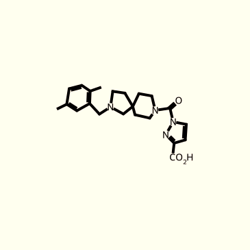 Cc1ccc(C)c(CN2CCC3(CCN(C(=O)n4ccc(C(=O)O)n4)CC3)C2)c1